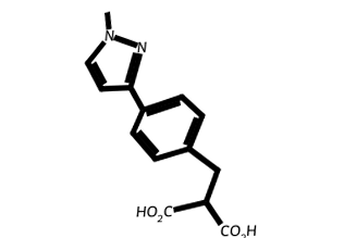 Cn1ccc(-c2ccc(CC(C(=O)O)C(=O)O)cc2)n1